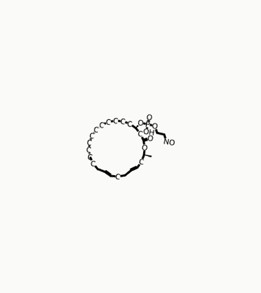 C[C@H]1C/C=C/CC/C=C/CCCCCCCCCCCC[C@@H](OP(=O)(O)OCCN=O)CC(=O)O1